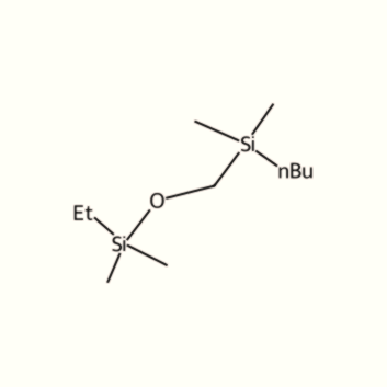 CCCC[Si](C)(C)CO[Si](C)(C)CC